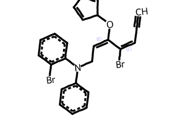 C#C/C=C(Br)\C(=C/CN(c1ccccc1)c1ccccc1Br)OC1C=CC=C1